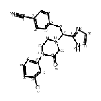 N#Cc1ccc(CC(c2ncc[nH]2)N2CCN(c3cccc(Cl)c3)C(=O)C2)cc1